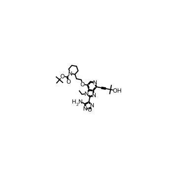 CCn1c(-c2nonc2N)nc2c(C#CC(C)(C)O)ncc(OCCC3CCCCN3C(=O)OC(C)(C)C)c21